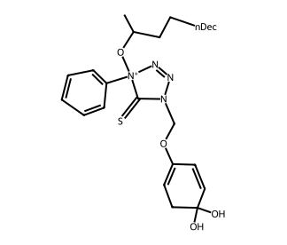 CCCCCCCCCCCCC(C)O[N+]1(c2ccccc2)N=NN(COC2=CCC(O)(O)C=C2)C1=S